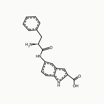 N[C@@H](Cc1ccccc1)C(=O)Nc1ccc2[nH]c(C(=O)O)cc2c1